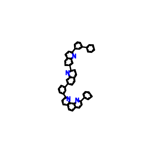 c1ccc(-c2cccc(-c3ccc4ccc(-c5ccc6ccc(-c7cccc(-c8ccc9ccc%10ccc(-c%11ccccc%11)nc%10c9n8)c7)cc6n5)cc4n3)c2)cc1